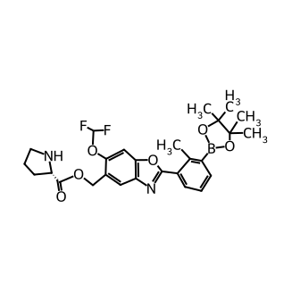 Cc1c(B2OC(C)(C)C(C)(C)O2)cccc1-c1nc2cc(COC(=O)[C@@H]3CCCN3)c(OC(F)F)cc2o1